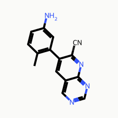 Cc1ccc(N)cc1-c1cc2cncnc2nc1C#N